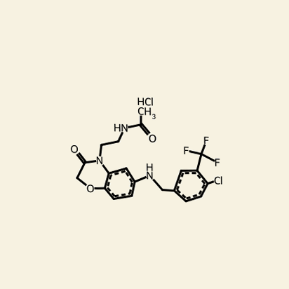 CC(=O)NCCN1C(=O)COc2ccc(NCc3ccc(Cl)c(C(F)(F)F)c3)cc21.Cl